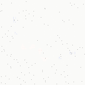 O=C(OCCN1CCNCC1)C1C2C=CC(C2)C1C(=O)OCCN1CCNCC1